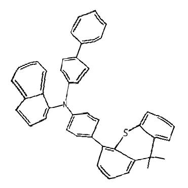 CC1(C)c2ccccc2Sc2c(-c3ccc(N(c4ccc(-c5ccccc5)cc4)c4cccc5ccccc45)cc3)cccc21